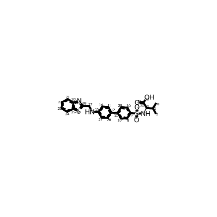 CC(C)[C@H](NS(=O)(=O)c1ccc(-c2ccc(NCc3nc4ccccc4s3)cc2)cc1)C(=O)O